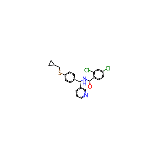 O=C(NC(c1ccc(SCC2CC2)cc1)c1cccnc1)c1ccc(Cl)cc1Cl